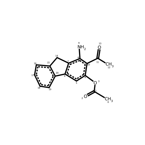 CC(=O)Oc1cc2c(c(N)c1C(C)=O)Cc1ccccc1-2